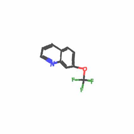 FC(F)(F)Oc1ccc2[c]ccnc2c1